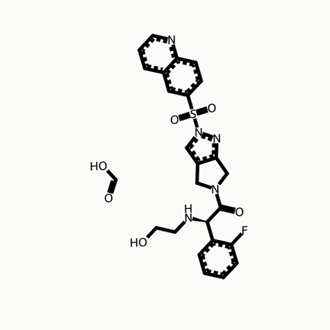 O=C([C@H](NCCO)c1ccccc1F)N1Cc2cn(S(=O)(=O)c3ccc4ncccc4c3)nc2C1.O=CO